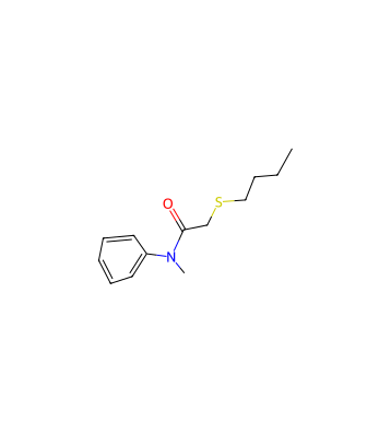 CCCCSCC(=O)N(C)c1ccccc1